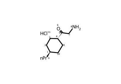 CCC[C@H]1CC[C@H](C(=O)CN)CC1.Cl